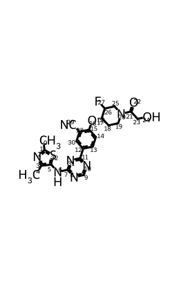 Cc1nc(C)c(Nc2ncnc(-c3ccc(O[C@H]4CCN(C(=O)CO)CC4F)c(C#N)c3)n2)s1